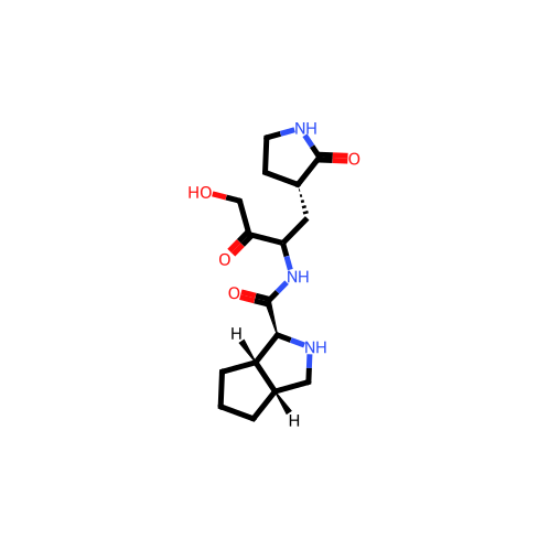 O=C(CO)C(C[C@@H]1CCNC1=O)NC(=O)[C@H]1NC[C@@H]2CCC[C@@H]21